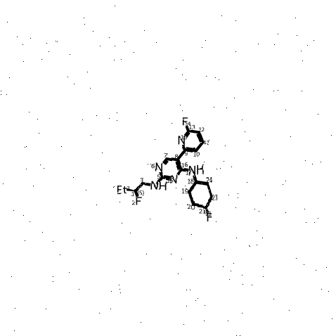 CC[C@H](F)CNc1ncc(-c2cccc(F)n2)c(NC2CCC(F)CC2)n1